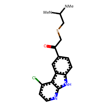 CNC(CSCC(=O)c1ccc2[nH]c3nccc(Cl)c3c2c1)NC